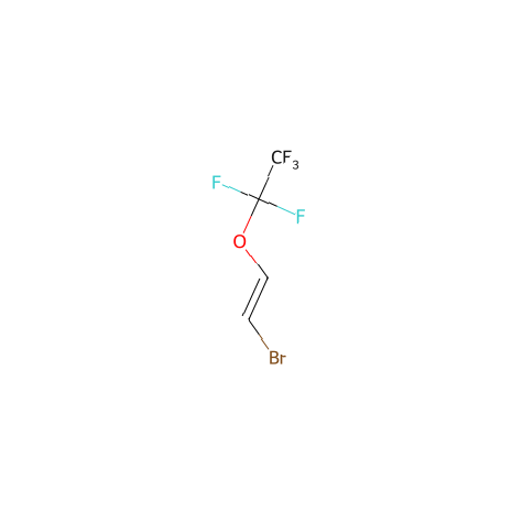 FC(F)(F)C(F)(F)OC=CBr